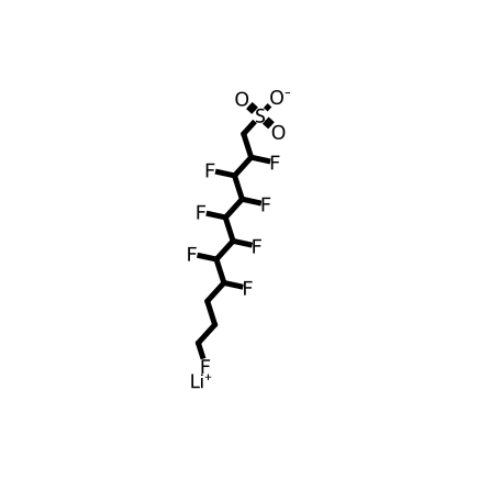 O=S(=O)([O-])CC(F)C(F)C(F)C(F)C(F)C(F)C(F)CCCF.[Li+]